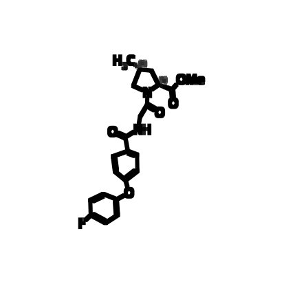 COC(=O)[C@@H]1C[C@@H](C)CN1C(=O)CNC(=O)c1ccc(Oc2ccc(F)cc2)cc1